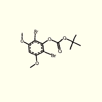 COc1cc(OC)c(Br)c(OC(=O)OC(C)(C)C)c1Br